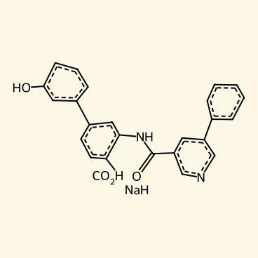 O=C(Nc1cc(-c2cccc(O)c2)ccc1C(=O)O)c1cncc(-c2ccccc2)c1.[NaH]